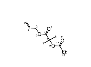 C=CCOC(=O)C(C)(C)OC(=O)CC